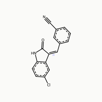 N#Cc1cccc(/C=C2\C(=O)Nc3ccc(Cl)cc32)c1